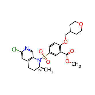 COC(=O)c1cc(S(=O)(=O)N2c3cnc(Cl)cc3CC[C@@H]2C)ccc1OCC1CCOCC1